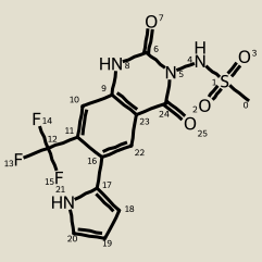 CS(=O)(=O)Nn1c(=O)[nH]c2cc(C(F)(F)F)c(-c3ccc[nH]3)cc2c1=O